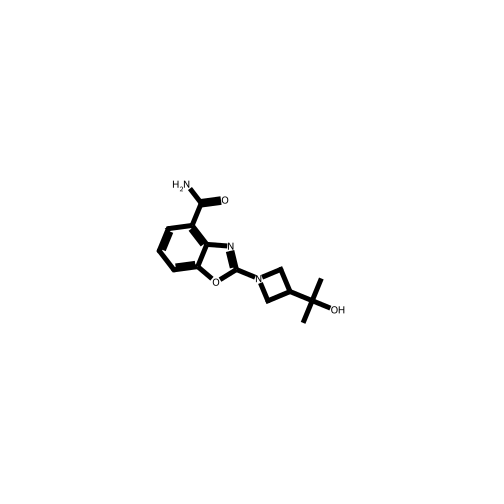 CC(C)(O)C1CN(c2nc3c(C(N)=O)[c]ccc3o2)C1